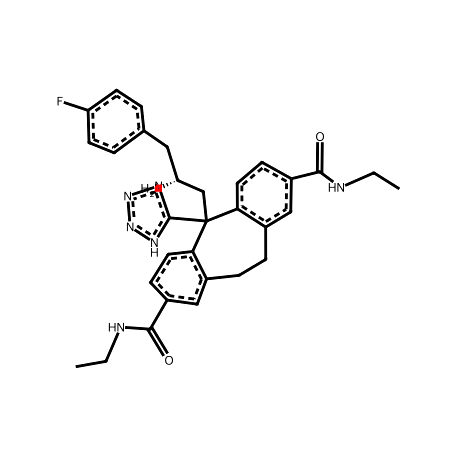 CCNC(=O)c1ccc2c(c1)CCc1cc(C(=O)NCC)ccc1C2(C[C@H](N)Cc1ccc(F)cc1)c1nnn[nH]1